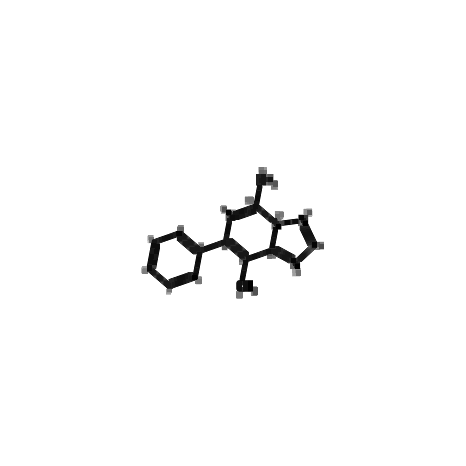 Cc1c(-c2ccccc2)nc(N)n2ncnc12